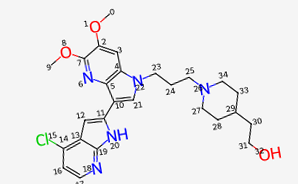 COc1cc2c(nc1OC)c(-c1cc3c(Cl)ccnc3[nH]1)cn2CCCN1CCC(CCO)CC1